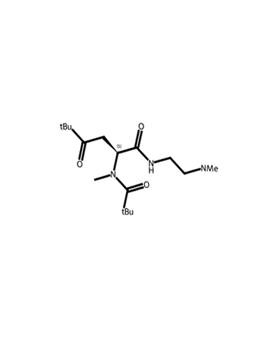 CNCCNC(=O)[C@H](CC(=O)C(C)(C)C)N(C)C(=O)C(C)(C)C